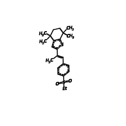 CCS(=O)(=O)c1ccc(C=C(C)c2cc3c(s2)C(C)(C)CCC3(C)C)cc1